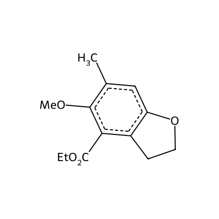 CCOC(=O)c1c2c(cc(C)c1OC)OCC2